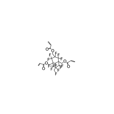 C=CC(=O)OCC1(F)C(F)(F)C2(COC(=O)C=C)C(F)(F)C(F)(CF)C(F)(F)C(COC(=O)C=C)(C1(F)F)C2(F)F